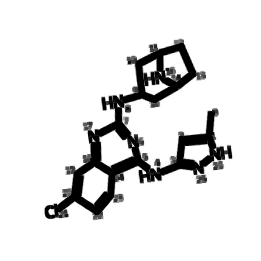 Cc1cc(Nc2nc(NC3CC4CCC(C3)N4)nc3cc(Cl)ccc23)n[nH]1